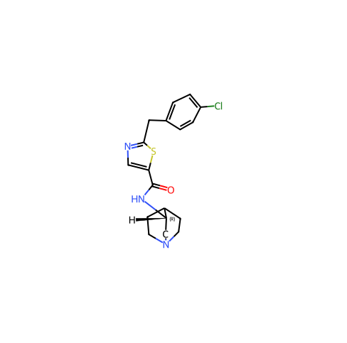 O=C(N[C@H]1CN2CCC1CC2)c1cnc(Cc2ccc(Cl)cc2)s1